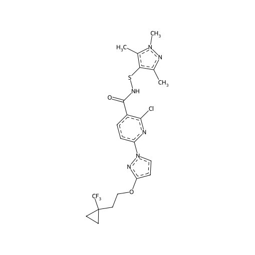 Cc1nn(C)c(C)c1SNC(=O)c1ccc(-n2ccc(OCCC3(C(F)(F)F)CC3)n2)nc1Cl